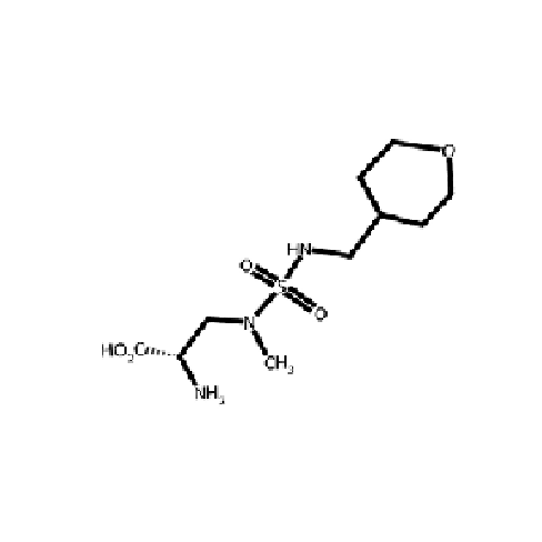 CN(C[C@H](N)C(=O)O)S(=O)(=O)NCC1CCOCC1